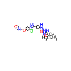 CC(C)(C)c1cc(NC(=O)Nc2ccc(-c3cn(-c4ccc(OCCN5CCOCC5)cc4Cl)nn3)cc2)no1